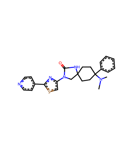 CN(C)C1(c2ccccc2)CCC2(CC1)CN(c1csc(-c3ccncc3)n1)C(=O)N2